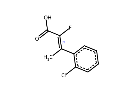 C/C(=C(/F)C(=O)O)c1ccccc1Cl